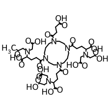 CC(=O)CN(CC(=O)O)C(CCC(=O)N1CCCN(C(=O)CCC(=O)O)CCN(C(=O)CCC(C(=O)O)N(CC(=O)O)CC(=O)O)CCCN(C(=O)CCC(C(=O)O)N(CC(=O)O)CC(=O)O)CC1)C(=O)O